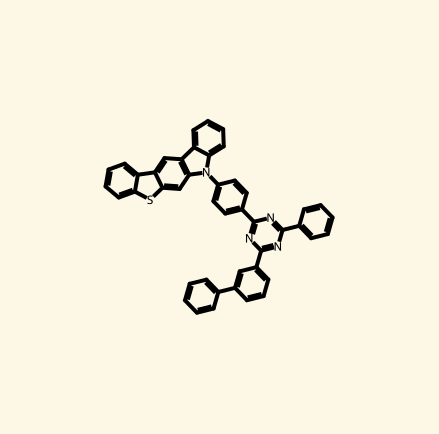 c1ccc(-c2cccc(-c3nc(-c4ccccc4)nc(-c4ccc(-n5c6ccccc6c6cc7c(cc65)sc5ccccc57)cc4)n3)c2)cc1